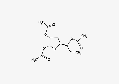 CCC(OC(C)=O)[C@@H]1C[C@@H](OC(C)=O)C(OC(C)=O)O1